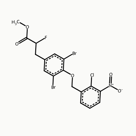 COC(=O)C(F)Cc1cc(Br)c(OCc2cccc([N+](=O)[O-])c2Cl)c(Br)c1